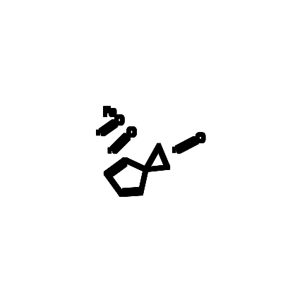 C1=CC2(C=C1)CC2.[C]=O.[C]=O.[C]=O.[Fe]